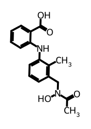 CC(=O)N(O)Cc1cccc(Nc2ccccc2C(=O)O)c1C